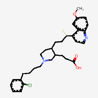 COc1ccc2nccc([C@@H](F)CCC3CCN(CCCCc4ccccc4Cl)CC3CCC(=O)O)c2c1